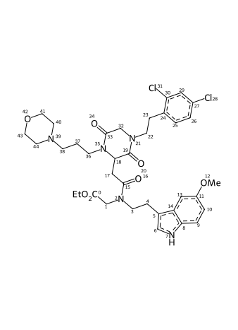 CCOC(=O)CN(CCc1c[nH]c2ccc(OC)cc12)C(=O)CC1C(=O)N(CCc2ccc(Cl)cc2Cl)CC(=O)N1CCCN1CCOCC1